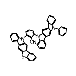 N#Cc1c(-n2c3ccccc3c3cc4sc5ccccc5c4cc32)cccc1-n1c2ccccc2c2cc3c(cc21)c1ccccc1n3-c1ccccc1